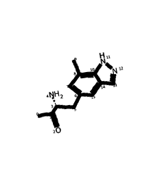 CC(=O)[C@H](N)Cc1cc(C)c2[nH]ncc2c1